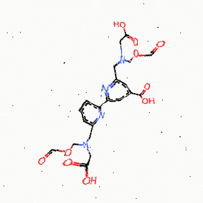 O=COCN(CC(=O)O)Cc1cccc(-c2cc(C(=O)O)cc(CN(COC=O)CC(=O)O)n2)n1